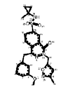 COc1cccc(Cc2nn(Cc3cc(C)no3)c(=O)c3cc(S(=O)(=O)NC4(C)CC4)ccc23)c1